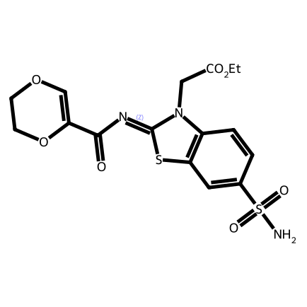 CCOC(=O)Cn1/c(=N/C(=O)C2=COCCO2)sc2cc(S(N)(=O)=O)ccc21